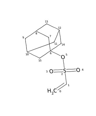 C=CS(=O)(=O)OC12CC3CC(CC(C3)C1)C2